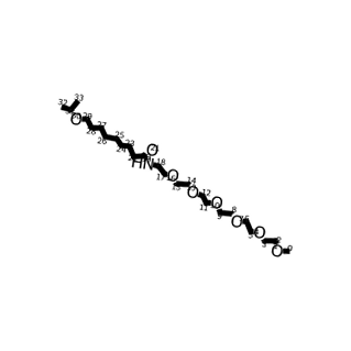 COCCOCCOCCOCCOCCOCCNC(=O)CCCCCCCCOC(C)C